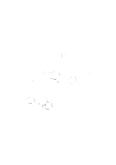 CCCCc1cc(C(C)(CC(=O)OCCOC(=O)CC(C)(c2ccc(O)c(CCCC)c2)c2ccc(O)c(CCCC)c2)c2ccc(O)cc2)ccc1O